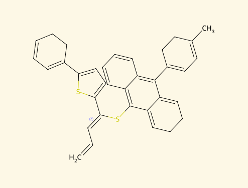 C=C/C=C(\Sc1c2c(c(C3=CC=C(C)CC3)c3ccccc13)=CCCC=2)c1ccc(C2=CC=CCC2)s1